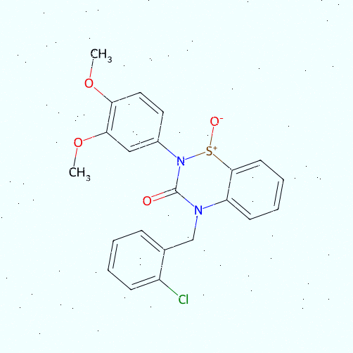 COc1ccc(N2C(=O)N(Cc3ccccc3Cl)c3ccccc3[S+]2[O-])cc1OC